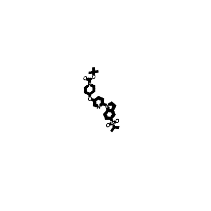 CC(C)S(=O)(=O)c1ccc2c(ccn2-c2ccc(OC3CCN(C(=O)OC(C)(C)C)CC3)cn2)c1